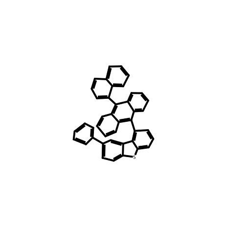 c1ccc(-c2ccc3sc4cccc(-c5c6ccccc6c(-c6cccc7ccccc67)c6ccccc56)c4c3c2)cc1